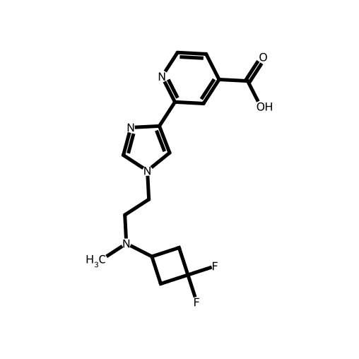 CN(CCn1cnc(-c2cc(C(=O)O)ccn2)c1)C1CC(F)(F)C1